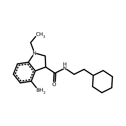 Bc1cccc2c1C(C(=O)NCCC1CCCCC1)CN2CC